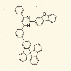 c1ccc(-c2cc(-c3cccc(-c4ccc5c(c4)-c4ccccc4C54c5ccccc5-c5ccccc54)c3)nc(-c3ccc4c(c3)oc3ccccc34)n2)cc1